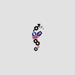 NC1CC2CCC(C1)N2C(=O)[C@@H]1CN(Cc2ccc(C3(C(F)(F)F)CC3)cc2)CCN1S(=O)(=O)c1ccc2cc(OC3CCCC3)ccc2c1